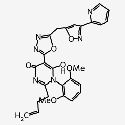 C=CCCc1nc(=O)c(-c2nnc(Cc3cc(-c4ccccn4)no3)o2)c(O)n1-c1c(OC)cccc1OC